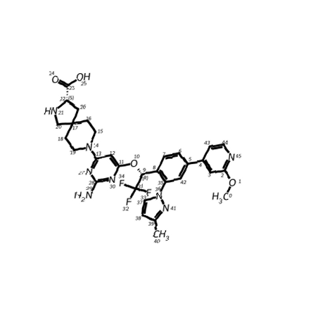 COc1cc(-c2ccc([C@@H](Oc3cc(N4CCC5(CC4)CN[C@H](C(=O)O)C5)nc(N)n3)C(F)(F)F)c(-n3ccc(C)n3)c2)ccn1